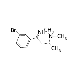 CC(CC(=N)c1cccc(Br)c1)N(C)C